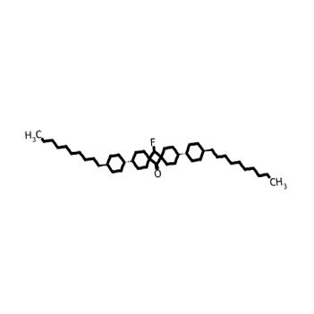 CCCCCCCCCC[C@H]1CC[C@H](C2CCC3(CC2)C(=O)C2(CCC([C@H]4CC[C@H](CCCCCCCCCC)CC4)CC2)C3F)CC1